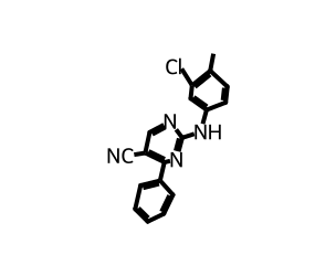 Cc1ccc(Nc2ncc(C#N)c(-c3ccccc3)n2)cc1Cl